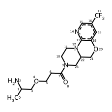 CC(N)COCCC(=O)N1CCN2c3ncc(C(F)(F)F)cc3OCC2C1